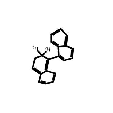 [2H]C1([2H])CC=c2ccccc2=C1c1cccc2ccccc12